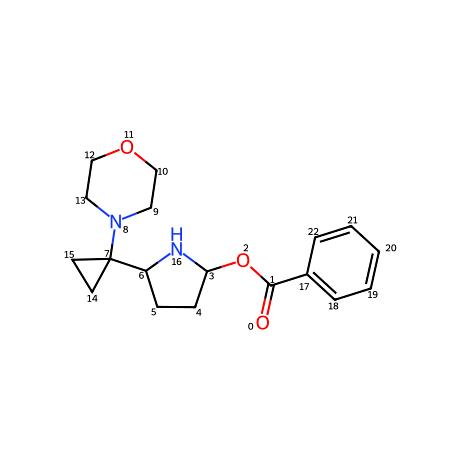 O=C(OC1CCC(C2(N3CCOCC3)CC2)N1)c1ccccc1